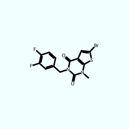 Cn1c(=O)n(Cc2ccc(F)c(F)c2)c(=O)c2cc(Br)sc21